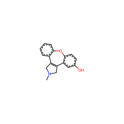 CN1CC2=C(C1)c1cc(O)ccc1Oc1ccccc12